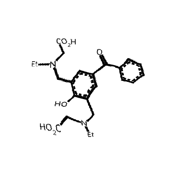 CCN(CC(=O)O)Cc1cc(C(=O)c2ccccc2)cc(CN(CC)CC(=O)O)c1O